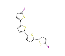 IC1=CCC(C2CC=C(c3ccc(-c4ccc(I)s4)s3)S2)S1